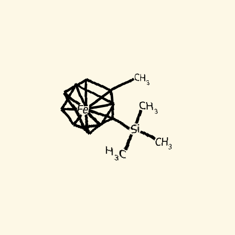 C[C]12[CH]3[CH]4[CH]5[C]1([Si](C)(C)C)[Fe]43521678[CH]2[CH]1[CH]6[CH]7[CH]28